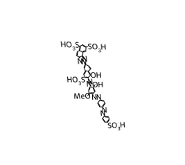 COc1cc(N=Nc2c(S(=O)(=O)O)cc3cc(-n4nc5ccc6c(S(=O)(=O)O)cc(S(=O)(=O)O)cc6c5n4)ccc3c2O)c(O)cc1N=Nc1ccc(N=Nc2ccc(S(=O)(=O)O)cc2)cc1